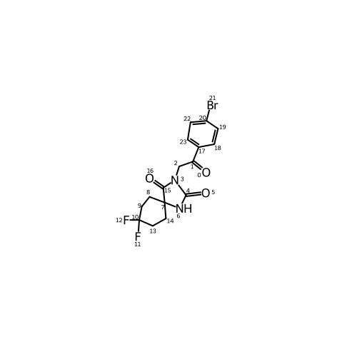 O=C(CN1C(=O)NC2(CCC(F)(F)CC2)C1=O)c1ccc(Br)cc1